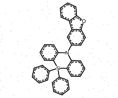 c1ccc([Si]2(c3ccccc3)c3ccccc3N(c3ccc4oc5ccccc5c4c3)c3ccccc32)cc1